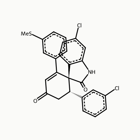 CSc1cccc(C2=CC(=O)C[C@@H](c3cccc(Cl)c3)[C@@]23C(=O)Nc2cc(Cl)ccc23)c1